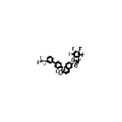 COc1cc(-c2cccc(OC(F)F)c2)ccc1-n1c(=O)ccc2cc(S(=O)(=O)Oc3c(F)c(F)c(F)c(F)c3F)ccc21